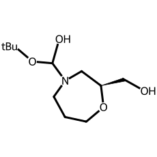 CC(C)(C)OC(O)N1CCCO[C@H](CO)C1